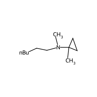 CCCCCCN(C)C1(C)CC1